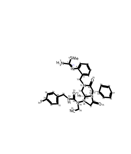 CS/C(N)=N\c1ccccc1CN1C[C@H]2N(C(=O)CN2N(CC#N)C(=O)NCc2ccc(F)cc2)[C@@H](c2ccccc2)C1=O